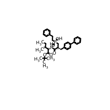 CC[C@@H](C)[C@H](NC(=O)[C@H](Cc1ccc(-c2ccccc2)cc1)CP(=O)(O)CCc1ccccc1)C(=O)OC(C)(C)C